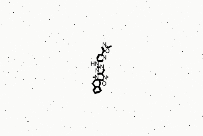 Cc1ncc(-c2ccc(Nc3ncc4c(n3)N(C)C3(CCc5ccccc5C3)C(=O)N4C)cn2)o1